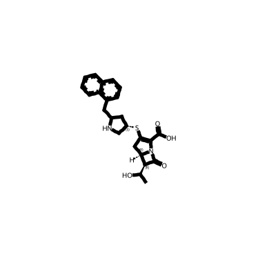 CC(O)[C@@H]1C(=O)N2C(C(=O)O)=C(S[C@@H]3CNC(Cc4cccc5ccccc45)C3)C[C@H]12